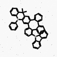 CC1(C)c2ccccc2N(c2ccccc2)c2cc3c(cc21)-c1ccccc1-c1ccccc1-c1c-3cccc1-n1c2ccccc2c2ccccc21